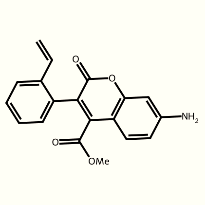 C=Cc1ccccc1-c1c(C(=O)OC)c2ccc(N)cc2oc1=O